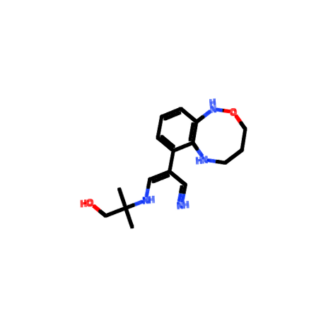 CC(C)(CO)N/C=C(\C=N)c1cccc2c1NCCCON2